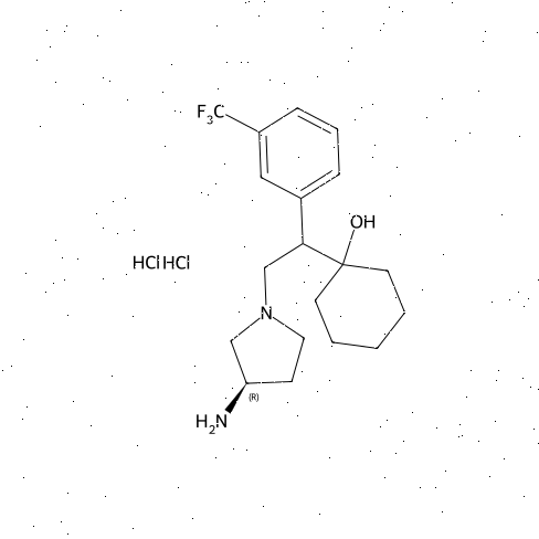 Cl.Cl.N[C@@H]1CCN(CC(c2cccc(C(F)(F)F)c2)C2(O)CCCCC2)C1